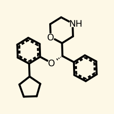 c1ccc([C@H](Oc2ccccc2C2CCCC2)C2CNCCO2)cc1